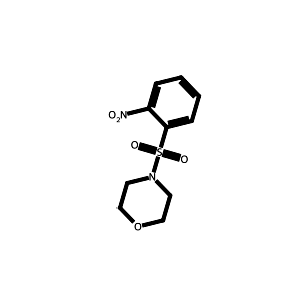 O=[N+]([O-])c1ccccc1S(=O)(=O)N1C[CH]OCC1